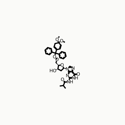 COC1(OC)C=CC(C(OOC[C@H]2O[C@@H](n3cnc4c(=O)[nH]c(NC(=O)C(C)C)nc43)C[C@@H]2O)(c2ccccc2)c2ccccc2)=CC1